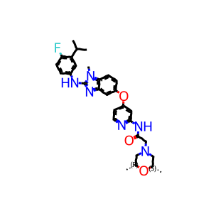 CC(C)c1cc(Nc2nc3cc(Oc4ccnc(NC(=O)CN5C[C@@H](C)O[C@@H](C)C5)c4)ccc3n2C)ccc1F